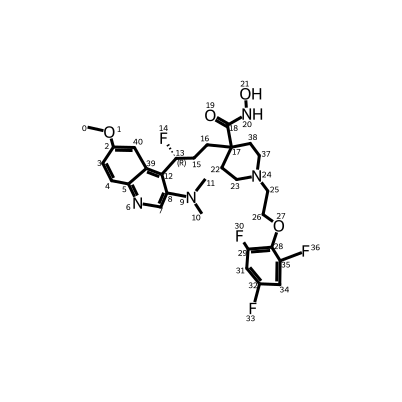 COc1ccc2ncc(N(C)C)c([C@H](F)CCC3(C(=O)NO)CCN(CCOc4c(F)cc(F)cc4F)CC3)c2c1